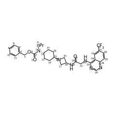 CCCN(C(=O)OCc1ccccc1)[C@H]1CC[C@H](N2CC(NC(=O)CNc3ncnc4ccc(C(F)(F)F)cc34)C2)CC1